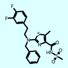 Cc1sc(N(CCc2ccc(F)c(F)c2)Cc2ccccc2)nc1C(=O)NS(C)(=O)=O